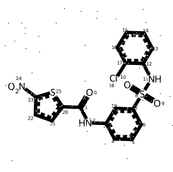 O=C(Nc1cccc(S(=O)(=O)Nc2ccccc2Cl)c1)c1ccc([N+](=O)[O-])s1